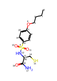 CCCCOc1ccc(S(=O)(=O)N[C@@H](CS)C(N)=O)cc1